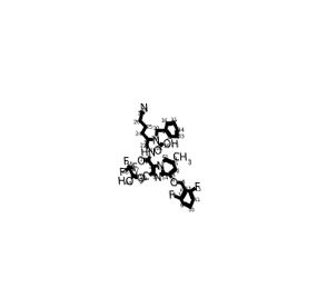 Cc1cc(OCc2c(F)cccc2F)c2nc(C)c(C(=O)NCC(CCCC#N)N(Cc3ccccc3)C(=O)O)n2c1.O=C(O)C(F)(F)F